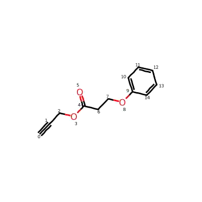 C#CCOC(=O)CCOc1ccccc1